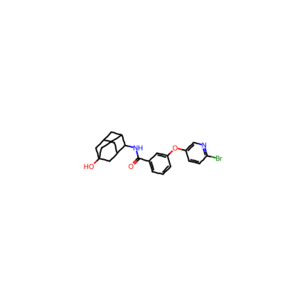 O=C(NC1C2CC3CC1CC(O)(C3)C2)c1cccc(Oc2ccc(Br)nc2)c1